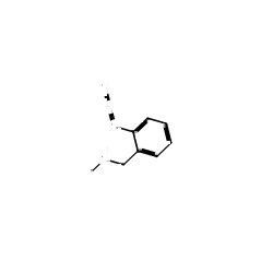 [N-]=[N+]=Nc1ccccc1CNI